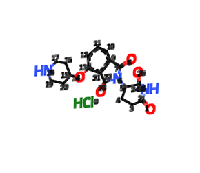 Cl.O=C1CCC(N2C(=O)c3cccc(OC4CCNCC4)c3C2=O)C(=O)N1